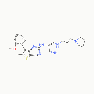 COc1ccccc1-c1c(C)sc2cnc(N/C(C=N)=C/NCCCN3CCCC3)nc12